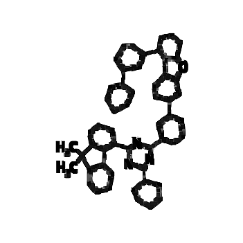 CC1(C)c2ccccc2-c2c(-c3nc(-c4ccccc4)nc(-c4cccc(-c5ccc6c(c5)oc5cccc(-c7cccc(-c8ccccc8)c7)c56)c4)n3)cccc21